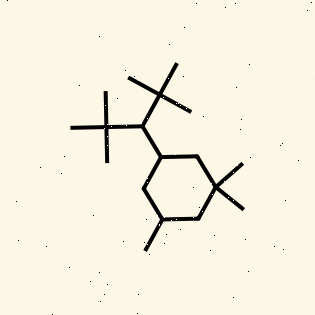 CC1CC(C(C(C)(C)C)C(C)(C)C)CC(C)(C)C1